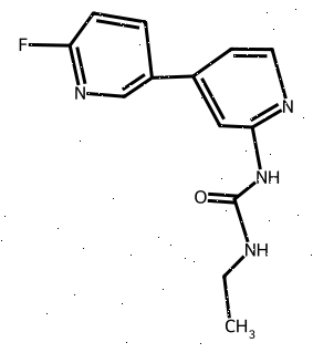 CCNC(=O)Nc1cc(-c2ccc(F)nc2)ccn1